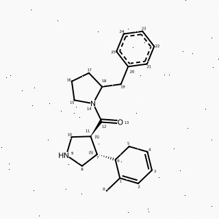 CC1=CC=CCC1[C@@H]1CNC[C@H]1C(=O)N1CCCC1Cc1ccccc1